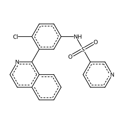 O=S(=O)(Nc1ccc(Cl)c(-c2nccc3ccccc23)c1)c1cccnc1